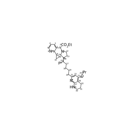 CCOC(=O)C(c1cccnc1C1CC1)N1CC[C@@H](C(F)CCCCc2cc(OC(C)C)c3c(n2)NCCC3)C1